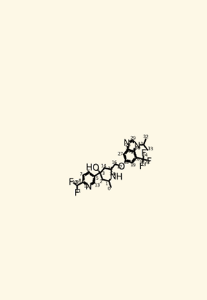 CC1CC(O)(c2ccc(C(F)F)nc2)CC(COc2cc(C(F)(F)F)c3c(c2)ncn3C(C)C)N1